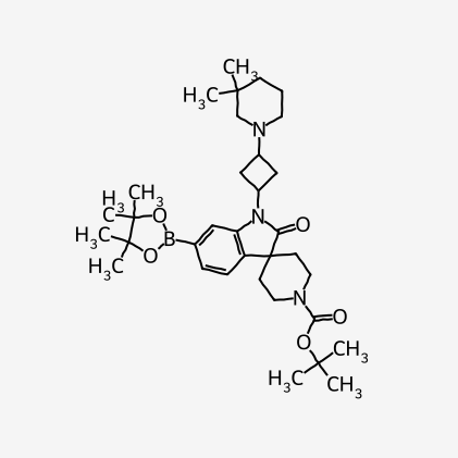 CC1(C)CCCN(C2CC(N3C(=O)C4(CCN(C(=O)OC(C)(C)C)CC4)c4ccc(B5OC(C)(C)C(C)(C)O5)cc43)C2)C1